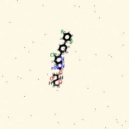 Fc1ccc(F)c(-c2ccc(-c3nc4nc(OC5CO[C@@H]6CCO[C@H]56)[nH]c4cc3Cl)cc2)c1